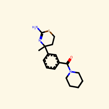 CC1(c2cccc(C(=O)N3CCCCC3)c2)CCSC(N)=N1